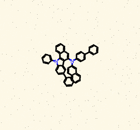 c1ccc(-c2ccc(N(c3ccc4ccccc4c3)c3cc4ccccc4c4c3c3cc(-c5ccccc5)ccc3n4-c3ccccc3)cc2)cc1